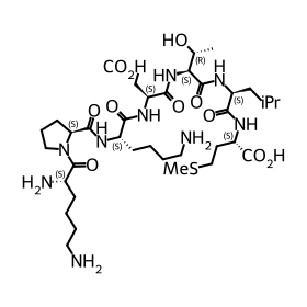 CSCC[C@H](NC(=O)[C@H](CC(C)C)NC(=O)[C@@H](NC(=O)[C@H](CC(=O)O)NC(=O)[C@H](CCCCN)NC(=O)[C@@H]1CCCN1C(=O)[C@@H](N)CCCCN)[C@@H](C)O)C(=O)O